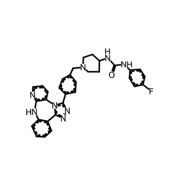 O=C(Nc1ccc(F)cc1)NC1CCN(Cc2ccc(-c3nnc4n3-c3cccnc3Nc3ccccc3-4)cc2)CC1